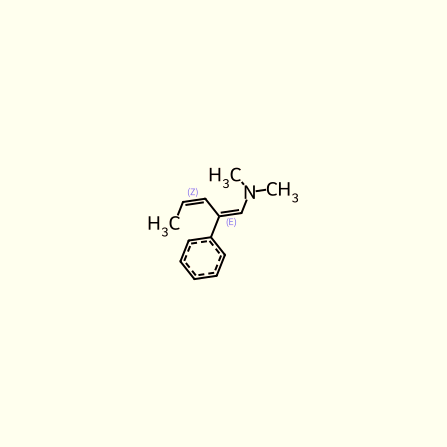 C/C=C\C(=C/N(C)C)c1ccccc1